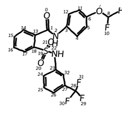 O=C(Nc1ccc(OC(F)F)cc1)c1ccccc1S(=O)(=O)Nc1cccc(C(F)(F)F)c1